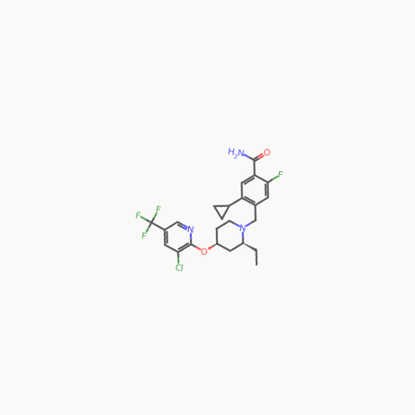 CC[C@H]1C[C@@H](Oc2ncc(C(F)(F)F)cc2Cl)CCN1Cc1cc(F)c(C(N)=O)cc1C1CC1